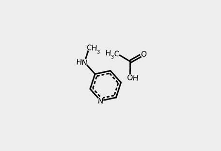 CC(=O)O.CNc1cccnc1